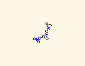 c1ccc(-n2c3ccccc3c3cc(-c4ccc5c(c4)c4ccccc4n5-c4ccc5cc(-c6cc7c8c(cccc8n6)-c6ccccc6-7)ccc5c4)ccc32)cc1